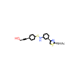 CC(=O)Nc1nc(-c2cccc(NSc3ccc(C#CCO)cc3)c2)cs1